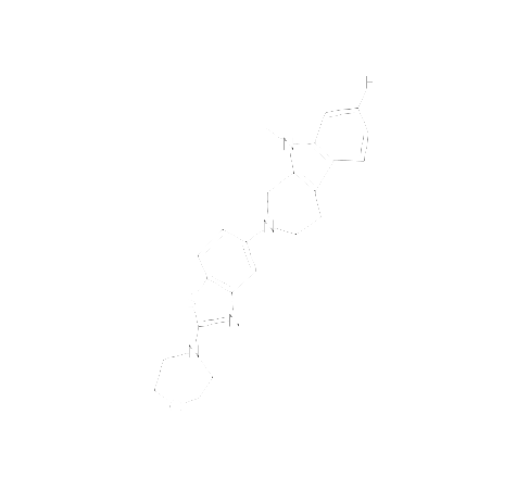 Cn1c2c(c3ccc(F)cc31)CCN(c1ccc3sc(N4CCOCC4)nc3c1)C2